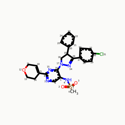 CS(=O)(=O)Nc1cnc(C2=CCOCC2)nc1N1CC(c2ccccc2)C(c2ccc(Cl)cc2)=N1